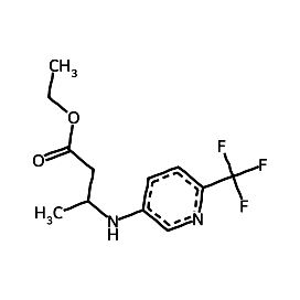 CCOC(=O)CC(C)Nc1ccc(C(F)(F)F)nc1